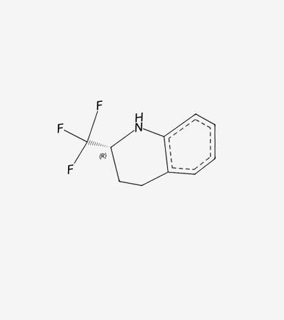 FC(F)(F)[C@H]1CCc2ccccc2N1